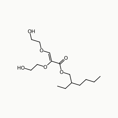 CCCCC(CC)COC(=O)C(=COCCO)OCCO